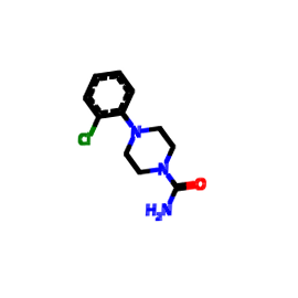 NC(=O)N1CCN(c2ccccc2Cl)CC1